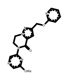 COc1cncc(N2CCn3nc(COc4ccccn4)cc3C2=O)n1